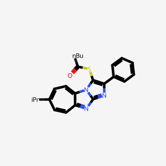 CCCCC(=O)Sc1c(-c2ccccc2)nc2nc3ccc(C(C)C)ccc3n12